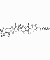 COCCc1ccc(-c2[nH]c3cc(S(=O)(=O)NC4CCC(C(=O)N5CCOCC5C(C)C)CC4)ccc3c2Cl)cc1